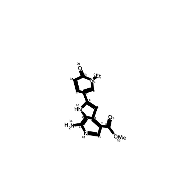 CCn1cc(-c2cc3c(C(=O)OC)cnc(N)c3[nH]2)ccc1=O